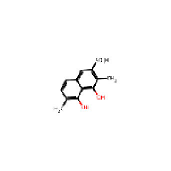 Cc1ccc2cc(S(=O)(=O)O)c(C)c(O)c2c1O